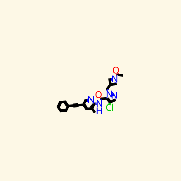 CC(=O)N1CC(Cn2ncc(Cl)c2C(=O)Nc2ncc(C#Cc3ccccc3)cc2C)C1